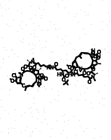 COc1cc2cc(c1Cl)N(C)C(=O)C[C@H](OC(=O)[C@H](C)N(C)C(=O)CCCCCNC(=O)CCC(CCC(=O)NCCCCCC(=O)N(C)[C@@H](C)C(=O)O[C@H]1CC(=O)N(C)c3cc(cc(OC)c3Cl)C/C(C)=C/C=C/[C@@H](OC)[C@]3(O)NC(=O)OC4C3[C@]13OC3[C@@H]4C)NC(=O)OC(C)(C)C)[C@]13OC1[C@H](C)C1OC(=O)N[C@](O)(C13)[C@H](OC)/C=C/C=C(\C)C2